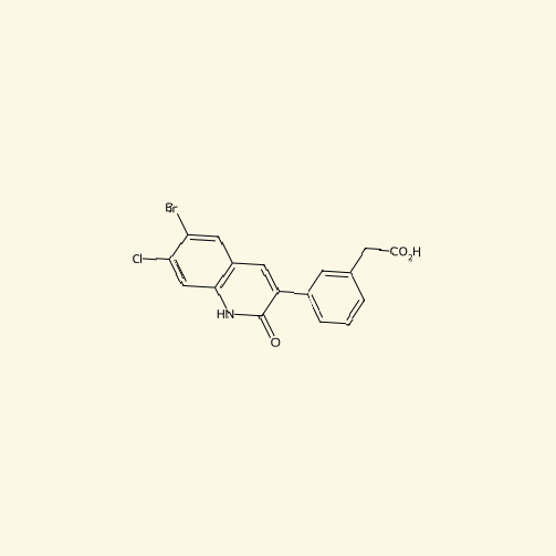 O=C(O)Cc1cccc(-c2cc3cc(Br)c(Cl)cc3[nH]c2=O)c1